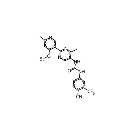 CCOc1cc(C)ncc1-c1ncc(NC(=O)Nc2ccc(C#N)c(C(F)(F)F)c2)c(C)n1